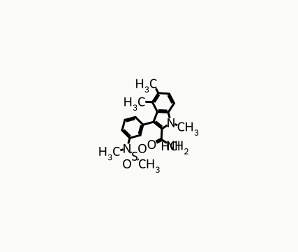 Cc1ccc2c(c1C)c(-c1cccc(N(C)S(C)(=O)=O)c1)c(C(N)=O)n2C.Cl